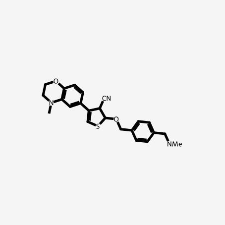 CNCc1ccc(COC2SC=C(c3ccc4c(c3)N(C)CCO4)C2C#N)cc1